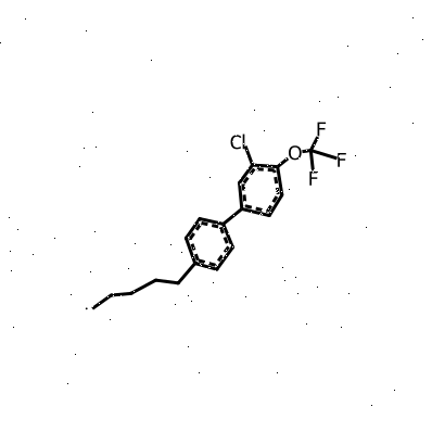 [CH2]CCCCc1ccc(-c2ccc(OC(F)(F)F)c(Cl)c2)cc1